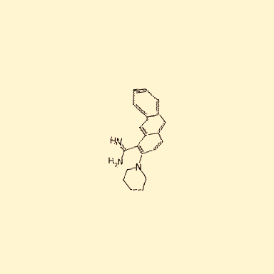 N=C(N)c1c(N2CCCCC2)ccc2cc3ccccc3cc12